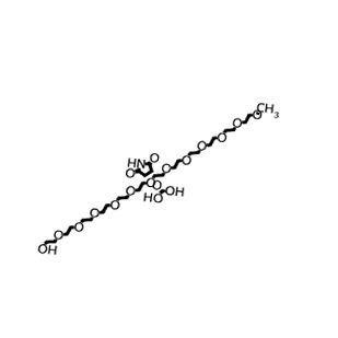 COCCOCCOCCOCCOCCOCCOCCOCCOCCOCCOCCOCCO.O=C(O)O.O=C1CCC(=O)N1